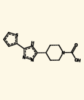 O=C(O)N1CCC(c2nnc(-c3cccs3)[nH]2)CC1